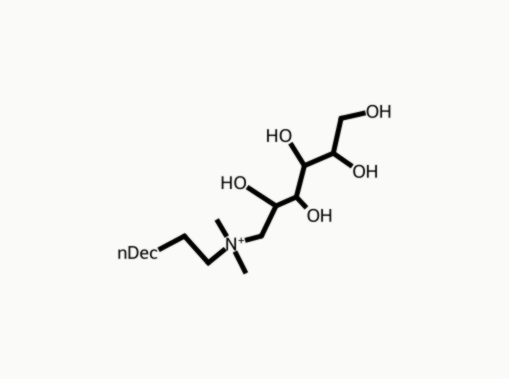 CCCCCCCCCCCC[N+](C)(C)CC(O)C(O)C(O)C(O)CO